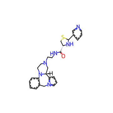 O=C(NCCN1CCN2c3ccccc3Cn3cccc3[C@H]2C1)[C@@H]1CSC(c2cccnc2)N1